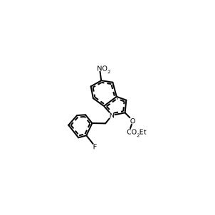 CCOC(=O)Oc1cc2cc([N+](=O)[O-])ccc2n1Cc1ccccc1F